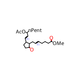 CCCCCC(/C=C/C1CCC(=O)C1C/C=C/CCCC(=O)OC)OC(C)=O